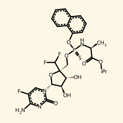 CC(C)OC(=O)[C@H](C)NP(=S)(OC[C@@]1(C(F)F)O[C@@H](n2cc(F)c(N)nc2=O)[C@H](O)[C@H]1O)Oc1cccc2ccccc12